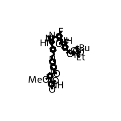 CCN(CC(=O)OC(C)(C)c1ccc(C(=O)Nc2cc(F)cc(-c3ncnc4[nH]c(-c5ccc(CCN6CCC7(CC6)CCN(C(=O)c6ccc(OC)c(N8CCC(=O)NC8=O)c6)CC7)cc5)cc34)c2C)c(F)c1)C(=O)OC(C)(C)C